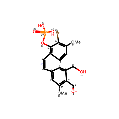 COc1ccc(/C=C\c2cc(CO)c(CO)c(OC)c2)c(OP(=O)(O)O)c1Br